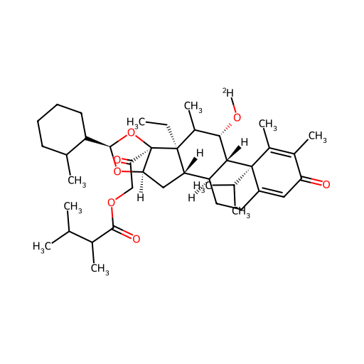 [2H]O[C@H]1C(C)[C@@]2(CC)[C@@H](C[C@H]3O[C@@H](C4CCCCC4C)O[C@]32C(=O)COC(=O)C(C)C(C)C)[C@@H]2CCC3=CC(=O)C(C)=C(C)[C@]3(C(C)C)[C@H]21